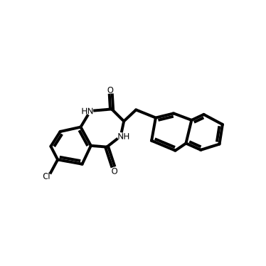 O=C1NC(Cc2ccc3ccccc3c2)C(=O)Nc2ccc(Cl)cc21